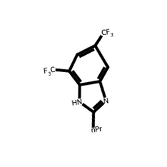 CCCc1nc2cc(C(F)(F)F)cc(C(F)(F)F)c2[nH]1